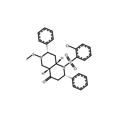 O=C1C[C@@H](c2ccccc2)N(S(=O)(=O)c2ccccc2Cl)[C@H]2C[C@@H](c3ccccc3)N(SI)C[C@@H]12